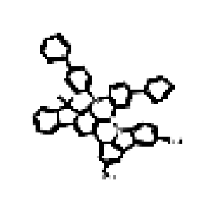 CC(C)(C)c1ccc2c(c1)c1cc(C(C)(C)C)cc3c1n2B1c2cc(-c4ccccc4)ccc2N(c2ccc(-c4ccccc4)cc2)c2c1c-3cc1c2C(C)(C)c2ccccc2-1